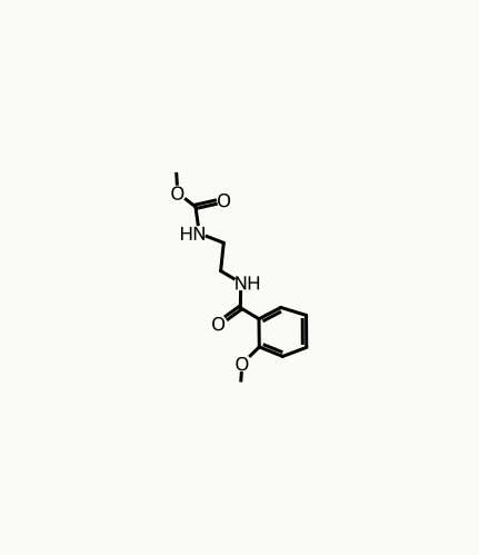 COC(=O)NCCNC(=O)c1ccccc1OC